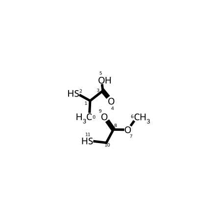 CC(S)C(=O)O.COC(=O)CS